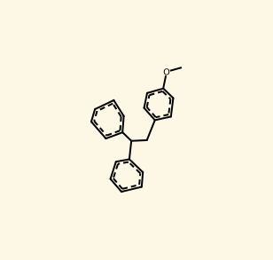 COc1ccc(CC(c2ccccc2)c2ccccc2)cc1